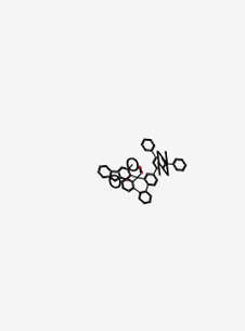 c1ccc(-c2cc(-c3ccc4c(c3)C3(c5ccccc5Oc5cc6c(cc53)oc3ccccc36)c3ccccc3-c3ccccc3-4)nc(-c3ccccc3)n2)cc1